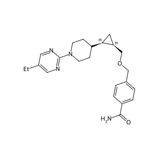 CCc1cnc(N2CCC([C@H]3C[C@H]3COCc3ccc(C(N)=O)cc3)CC2)nc1